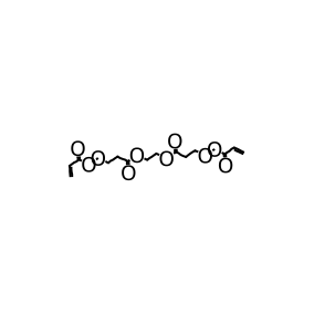 C=CC(=O)OOCCC(=O)OCCOC(=O)CCOOC(=O)C=C